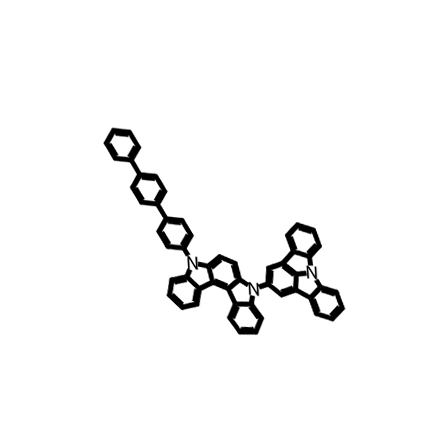 c1ccc(-c2ccc(-c3ccc(-n4c5ccccc5c5c6c7ccccc7n(-c7cc8c9ccccc9n9c%10ccccc%10c(c7)c89)c6ccc54)cc3)cc2)cc1